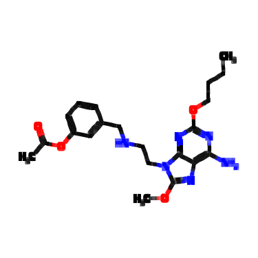 CCCCOc1nc(N)c2nc(OC)n(CCNCc3cccc(OC(C)=O)c3)c2n1